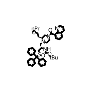 CCCOCC[C@H]1CN(C(=O)c2cccc3cccnc23)CCN1C[C@H](CSC(c1ccccc1)(c1ccccc1)c1ccccc1)NC(=O)OC(C)(C)C